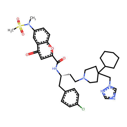 CN(c1ccc2oc(C(=O)N[C@H](CCN3CCC(Cn4cncn4)(C4CCCCC4)CC3)Cc3ccc(Cl)cc3)cc(=O)c2c1)S(C)(=O)=O